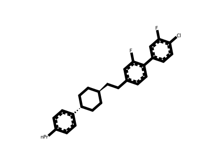 CCCc1ccc([C@H]2CC[C@H](CCc3ccc(-c4ccc(Cl)c(F)c4)c(F)c3)CC2)cc1